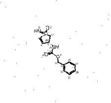 N=[S@]1(=O)C=C[C@@H](NC(=O)OCc2ccccc2)C1